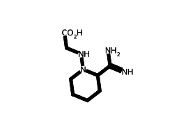 N=C(N)C1CCCCN1NCC(=O)O